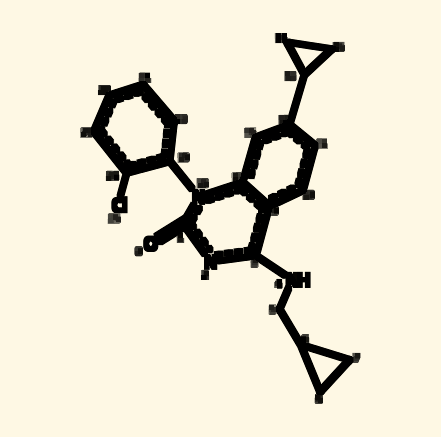 O=c1nc(NCC2CC2)c2ccc(C3CC3)cc2n1-c1ccccc1Cl